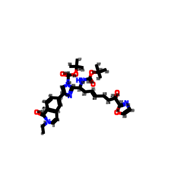 CCn1ccc2cc(-c3cn(C(=O)OC(C)(C)C)c(C(C/C=C/CCC(=O)c4ncco4)NC(=O)OC(C)(C)C)n3)ccc2c1=O